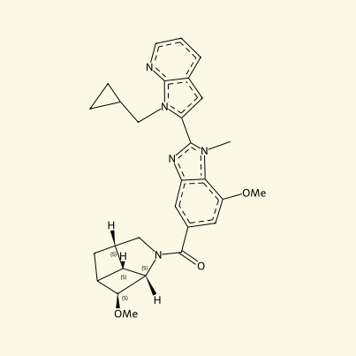 COc1cc(C(=O)N2C[C@H]3CC4[C@H]3[C@H]2[C@H]4OC)cc2nc(-c3cc4cccnc4n3CC3CC3)n(C)c12